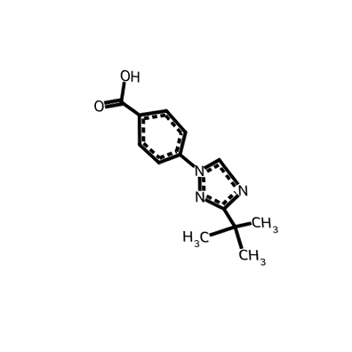 CC(C)(C)c1ncn(-c2ccc(C(=O)O)cc2)n1